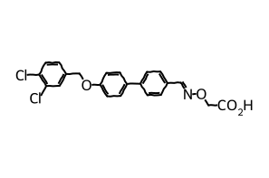 O=C(O)CO/N=C/c1ccc(-c2ccc(OCc3ccc(Cl)c(Cl)c3)cc2)cc1